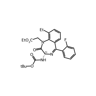 CCOC(=O)CN1C(=O)[C@@H](NC(=O)OC(C)(C)C)N=C(c2ccccc2F)c2cccc(CC)c21